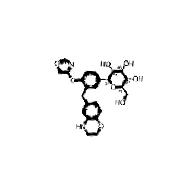 OC[C@H]1O[C@@H](c2ccc(Oc3cocn3)c(Cc3ccc4c(c3)NCCO4)c2)[C@H](O)[C@@H](O)[C@@H]1O